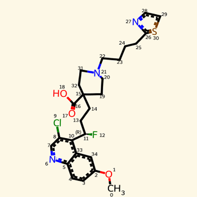 COc1ccc2ncc(Cl)c([C@H](F)CCC3(C(=O)O)CCN(CCCCc4nccs4)CC3)c2c1